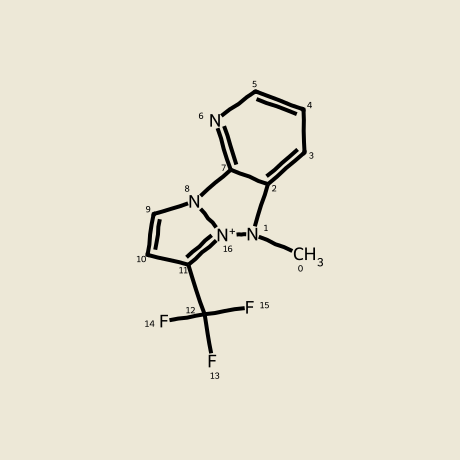 Cn1c2cccnc2n2ccc(C(F)(F)F)[n+]12